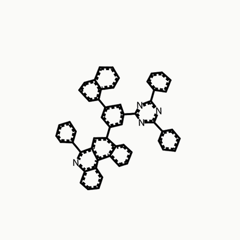 c1ccc(-c2nc(-c3ccccc3)nc(-c3cc(-c4cccc5ccccc45)cc(-c4cc5c(-c6ccccc6)nc6ccccc6c5c5ccccc45)c3)n2)cc1